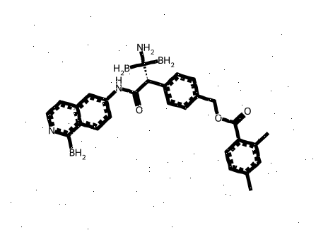 Bc1nccc2cc(NC(=O)[C@@H](c3ccc(COC(=O)c4ccc(C)cc4C)cc3)C(B)(B)N)ccc12